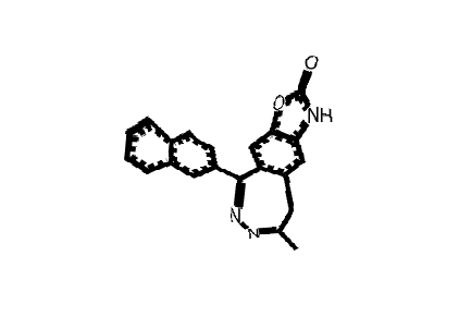 CC1=NN=C(c2ccc3ccccc3c2)c2cc3oc(=O)[nH]c3cc2C1